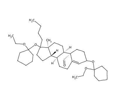 CCCCC1(OC2(OCC)CCCCC2)CC[C@H]2[C@@H]3CCC4=CC(OC5(OCC)CCCCC5)CC[C@]4(C=O)[C@@H]3CC[C@@]21C